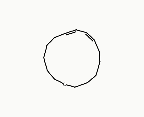 C1=CCCCCCCCCCCCC=C1